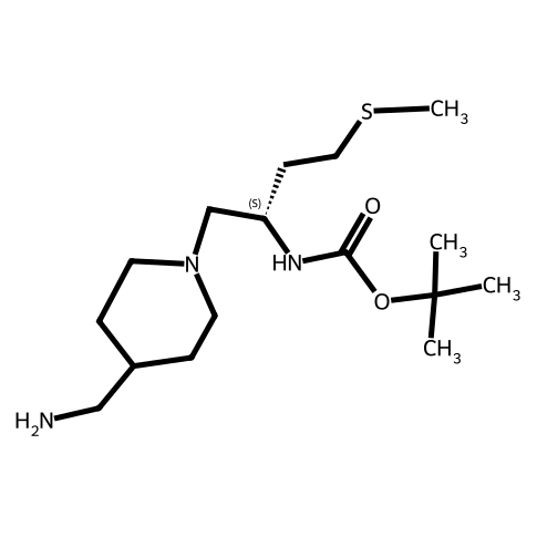 CSCC[C@@H](CN1CCC(CN)CC1)NC(=O)OC(C)(C)C